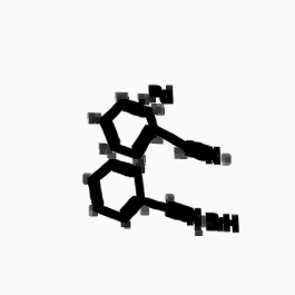 Br.N#Cc1ccccc1.N#Cc1ccccc1.[Pd]